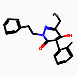 Cc1ccccc1-c1c(O)c(CC(C)C)nn(CCc2ccccc2)c1=O